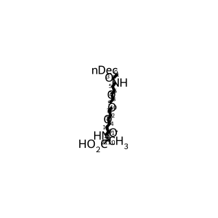 CCCCCCCCCCCC(=O)NCCOCCOCCOCCC(=O)N[C@@H](C)C(=O)O